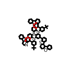 CC(C)(C)c1ccc(N2c3cc(-n4c5ccccc5c5ccccc54)ccc3B3c4ccc(-n5c6ccccc6c6ccncc65)cc4N(c4ccc(C(C)(C)C)cc4-c4ccccc4)c4cc(-c5cccc6c5sc5ccc7oc8ccccc8c7c56)cc2c43)c(-c2ccccc2)c1